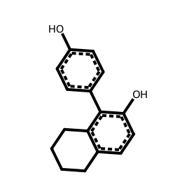 Oc1ccc(-c2c(O)ccc3c2CCCC3)cc1